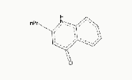 CCCc1cc(=O)c2ccccc2[nH]1